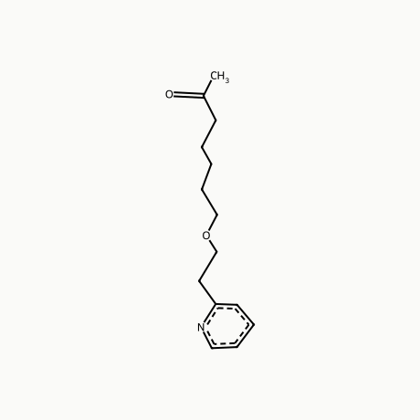 CC(=O)CCCCCOCCc1ccccn1